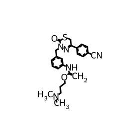 C=C(Nc1cccc(CN2N=C(c3ccc(C#N)cc3)CSC2=O)c1)OCCCN(C)C